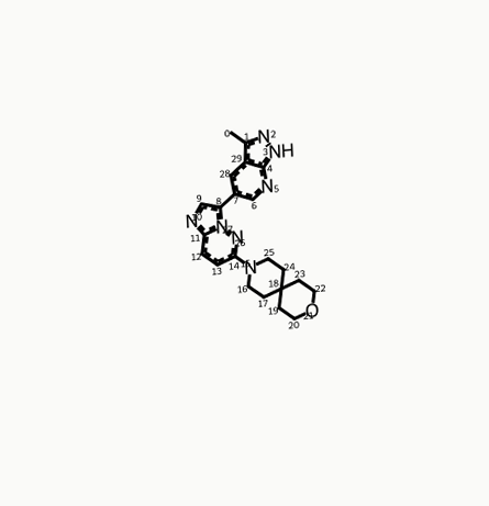 Cc1n[nH]c2ncc(-c3cnc4ccc(N5CCC6(CCOCC6)CC5)nn34)cc12